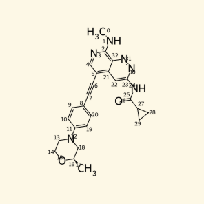 CNc1ncc(C#Cc2ccc(N3CCO[C@H](C)C3)cc2)c2cc(NC(=O)C3CC3)nnc12